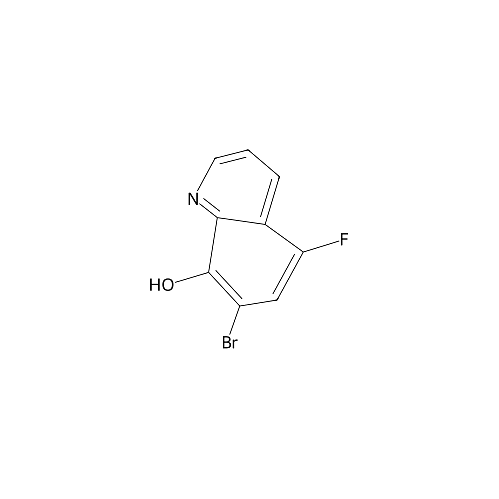 Oc1c(Br)cc(F)c2cccnc12